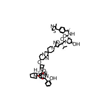 Cc1ncsc1-c1ccc([C@H](C)NC(=O)[C@@H]2C[C@@H](O)CN2C(=O)[C@@H](c2cc(N3CCC(C#N)(CN4CCC(O[C@H]5C[C@H](Oc6cc(N7C8CCC7CN(c7cc(-c9ccccc9O)nnc7N)C8)ccn6)C5)CC4)CC3)no2)C(C)C)cc1